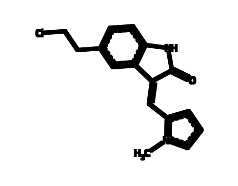 Cn1cccc1C=C1C(=O)Nc2ccc(CCCl)cc21